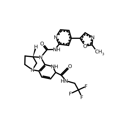 Cc1ncc(-c2ccnc(NC(=O)N3C4=C(C=CC(C(=O)NCC(F)(F)F)N4)N4CC[C@H]3C4)c2)o1